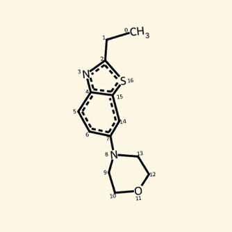 CCc1nc2ccc(N3CCOCC3)cc2s1